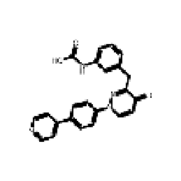 O=C(O)Nc1cccc(Cc2nn(-c3ccc(-c4ccncc4)cc3)ccc2=O)c1